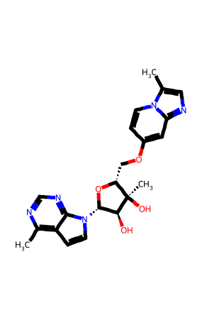 Cc1ncnc2c1ccn2[C@@H]1O[C@H](COc2ccn3c(C)cnc3c2)[C@@](C)(O)[C@H]1O